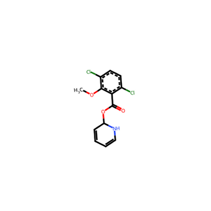 COc1c(Cl)ccc(Cl)c1C(=O)OC1C=CC=CN1